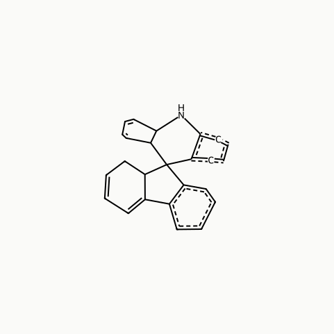 C1=CCC2C(=C1)c1ccccc1C21c2ccccc2NC2C=CC=CC21